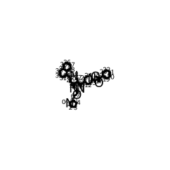 CN1CCC[C@H]1COc1nc(C2CCN(OC(=O)c3ccccc3)CC2)c2cnc(-c3cccc4ccccc34)cc2n1